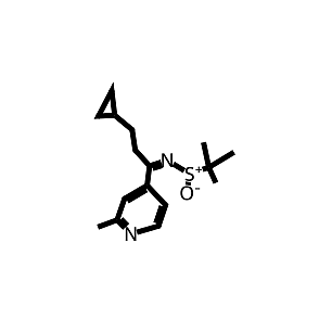 Cc1cc(/C(CCC2CC2)=N\[S+]([O-])C(C)(C)C)ccn1